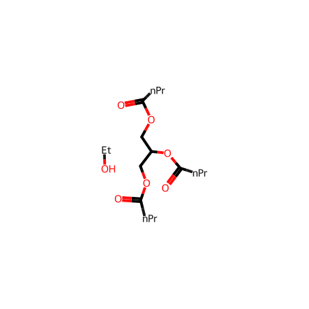 CCCC(=O)OCC(COC(=O)CCC)OC(=O)CCC.CCO